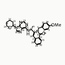 COc1ccc(Cn2c([C@H](C)Nc3ncnc4c3ncn4C3CCCCO3)cc3ccccc3c2=O)cc1